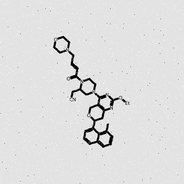 CCOc1nc2c(c(N3CCN(C(=O)/C=C/CN4CCOCC4)C(CC#N)C3)n1)COC(c1cccc3cccc(C)c13)C2